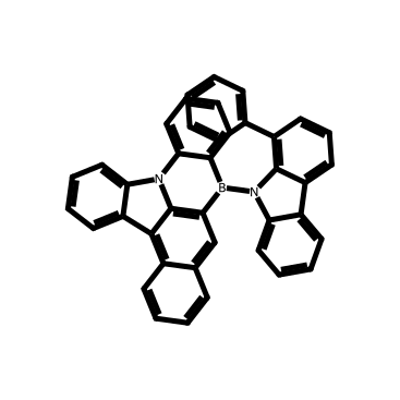 c1ccc(-c2cccc3c4ccccc4n(B4c5ccccc5-n5c6ccccc6c6c7ccccc7cc4c65)c23)cc1